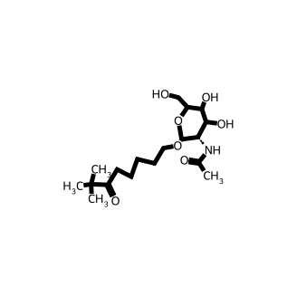 CC(=O)N[C@@H]1C(OCCCCCC(=O)C(C)(C)C)OC(CO)C(O)C1O